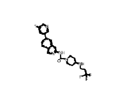 O=C(Nc1cc2cc(-c3cncc(F)c3)ccc2cn1)N1CCC(NCCC(F)(F)F)CC1